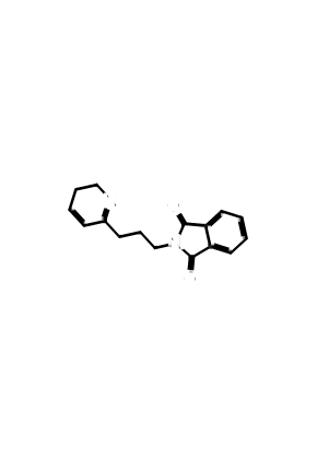 O=C1c2ccccc2C(=O)N1CCCC1=NCCC=C1